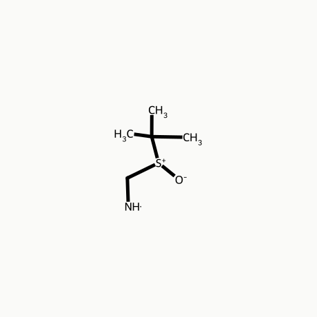 CC(C)(C)[S+]([O-])C[NH]